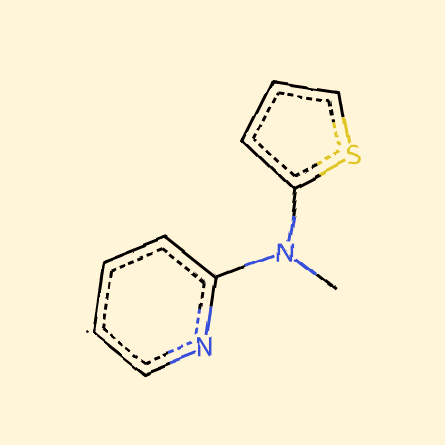 CN(c1cc[c]cn1)c1cccs1